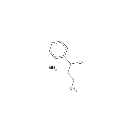 NCCC(O)c1ccccc1.[AlH3]